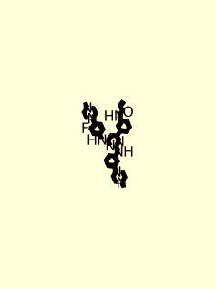 C=CC(=O)Nc1cccc(-c2cc(Nc3ccc(N4CCN(C)CC4)c(F)c3)nc(Nc3cccc(N4CCN(C)CC4)c3)n2)c1